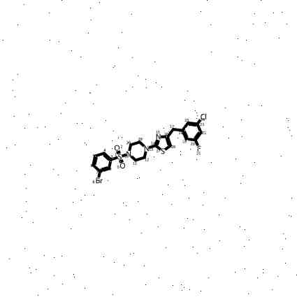 O=S(=O)(c1cccc(Br)c1)N1CCN(c2nc(Cc3cc(F)cc(Cl)c3)cs2)CC1